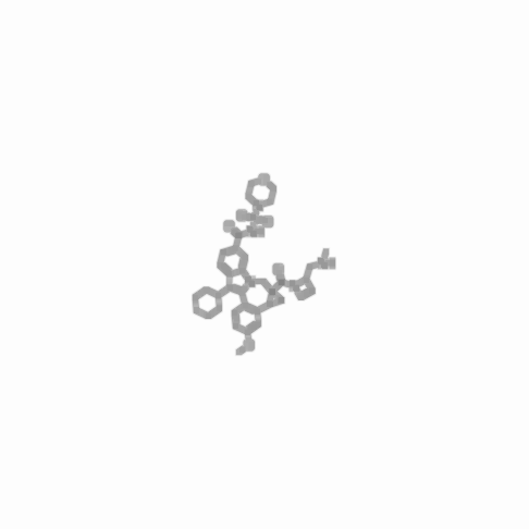 CNCC1C=CN1C(=O)C12CC1c1cc(OC)ccc1-c1c(C3CCCCC3)c3ccc(C(=O)NS(=O)(=O)N4CCOCC4)cc3n1C2